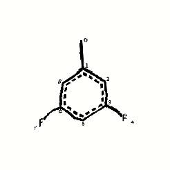 Cc1cc(F)cc(F)c1